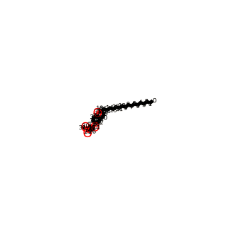 CCCCCCCCCCCCCCCCC[C@]1(C)CCc2cc(OC(C)(C)C(=O)OC)ccc2O1